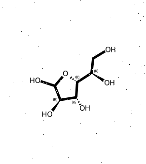 OC[C@@H](O)[C@H]1OC(O)[C@H](O)[C@H]1O